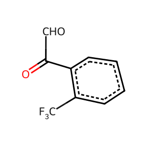 O=CC(=O)c1ccccc1C(F)(F)F